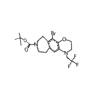 CC(C)(C)OC(=O)N1CCc2cc3c(c(Br)c2CC1)OCCN3CC(F)(F)F